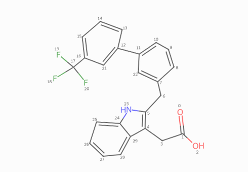 O=C(O)Cc1c(Cc2cccc(-c3cccc(C(F)(F)F)c3)c2)[nH]c2ccccc12